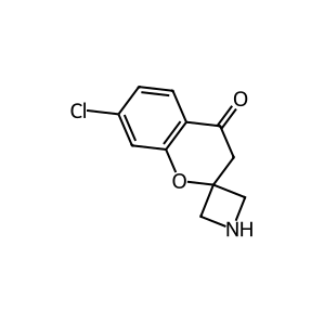 O=C1CC2(CNC2)Oc2cc(Cl)ccc21